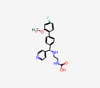 COc1cc(F)ccc1-c1ccc([C@@H](NCCNC(=O)O)c2ccncc2)cc1